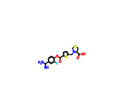 N=C(N)c1ccc(OC(=O)c2ccc(CN3CSC[C@H]3C(=O)O)s2)c(F)c1